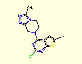 CCc1cc2c(N3CCn4c(C)nnc4C3)nc(Cl)nc2s1